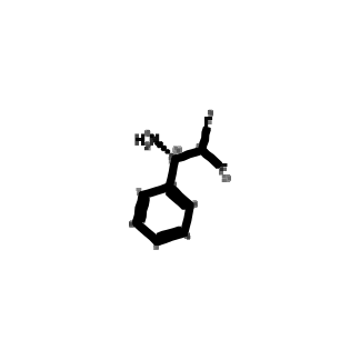 N[C@@H](c1ccccc1)C(F)F